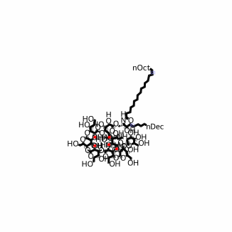 CCCCCCCC/C=C\CCCCCCCCCCCCCC(=O)N[C@@H](CO[C@@H]1OC(CO)[C@@H](O[C@@H]2OC(CO)[C@H](O)[C@H](O[C@@H]3OC(CO)[C@@H](O[C@@H]4OC(CO)[C@H](O)[C@H](O[C@@H]5OC(CO)[C@@H](O[C@@H]6OC(CO)[C@H](O)[C@H](O[C@H]7OC(CO)[C@H](O)[C@H](O)C7NC(C)=O)C6O[C@H]6OC(C)[C@@H](O)C(O)[C@@H]6O)[C@H](O)C5NC(C)=O)C4O)[C@H](O)C3NC(C)=O)C2O)[C@H](O)C1O)[C@H](O)/C=C/CCCCCCCCCCCCC